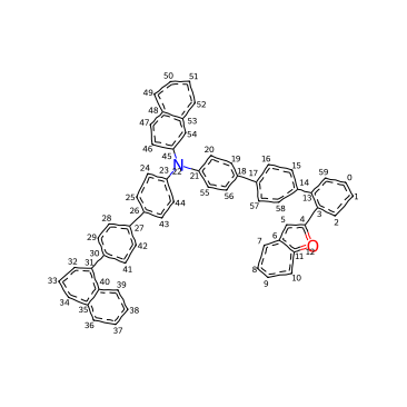 c1ccc(-c2cc3ccccc3o2)c(-c2ccc(-c3ccc(N(c4ccc(-c5ccc(-c6cccc7ccccc67)cc5)cc4)c4ccc5ccccc5c4)cc3)cc2)c1